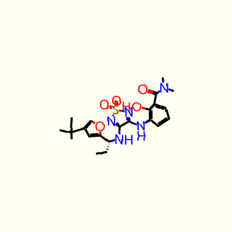 CC[C@@H](NC1=NS(=O)(=O)N=C1Nc1cccc(C(=O)N(C)C)c1O)c1cc(C(C)(C)C)co1